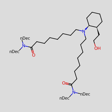 CCCCCCCCCCN(CCCCCCCCCC)C(=O)CCCCCCCN(CCCCCCCC(=O)N(CCCCCCCCCC)CCCCCCCCCC)[C@H]1CCCC[C@H]1CCO